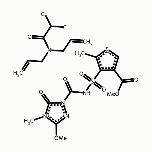 C=CCN(CC=C)C(=O)C(Cl)Cl.COC(=O)c1csc(C)c1S(=O)(=O)NC(=O)n1nc(OC)n(C)c1=O